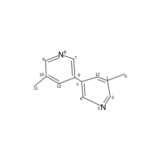 Cc1cncc(-c2cncc(C)c2)c1